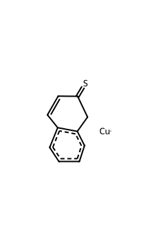 S=C1C=Cc2ccccc2C1.[Cu]